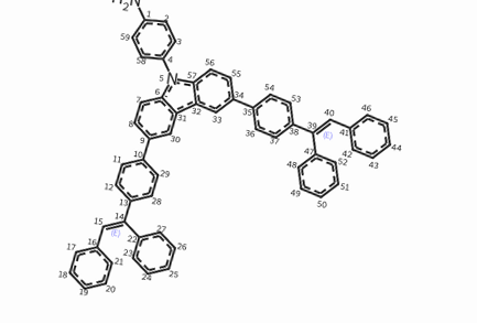 Nc1ccc(-n2c3ccc(-c4ccc(/C(=C/c5ccccc5)c5ccccc5)cc4)cc3c3cc(-c4ccc(/C(=C/c5ccccc5)c5ccccc5)cc4)ccc32)cc1